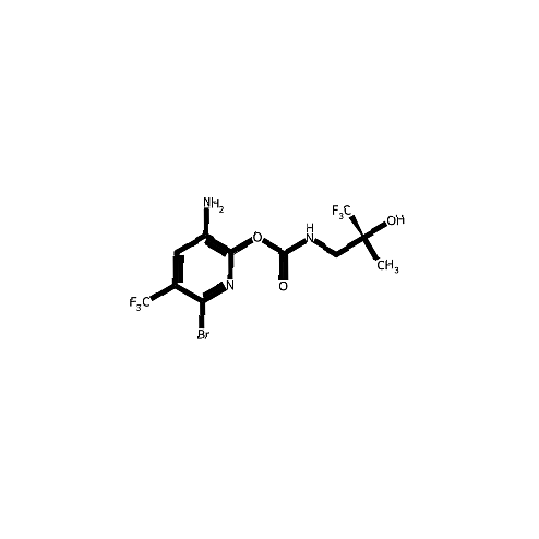 C[C@@](O)(CNC(=O)Oc1nc(Br)c(C(F)(F)F)cc1N)C(F)(F)F